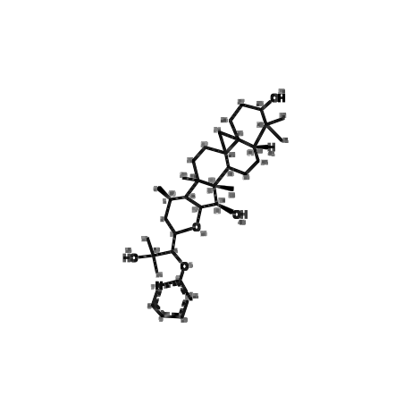 C[C@@H]1CC(C(Oc2ncccn2)C(C)(C)O)OC2C1C1(C)CCC34CC35CCC(O)C(C)(C)[C@@H]5CCC4[C@]1(C)[C@H]2O